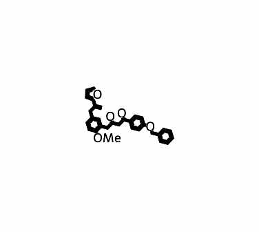 C=C(Cc1ccc(OC)c(CC(=O)CC(=O)c2ccc(OCc3ccccc3)cc2)c1)c1ccco1